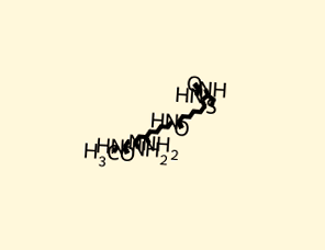 CNC(=O)CN(N)CC(N)CCCCNC(=O)CCCCC1SCC2NC(=O)NC21